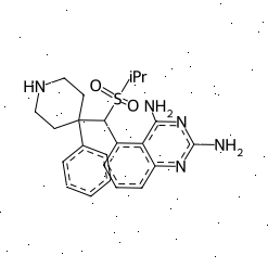 CC(C)S(=O)(=O)C(c1cccc2nc(N)nc(N)c12)C1(c2ccccc2)CCNCC1